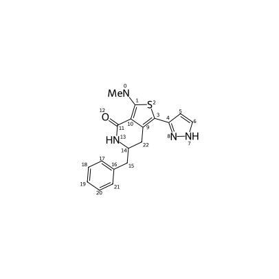 CNc1sc(-c2cc[nH]n2)c2c1C(=O)NC(Cc1ccccc1)C2